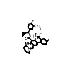 Cc1cc([C@@H](NC(=O)c2cc(CN3CCCC3=N)cc(-c3ccc(F)cc3C(F)(F)F)c2)C2CC2)ccc1F